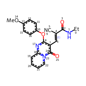 CCNC(=O)/C(C#N)=C/c1c(Oc2ccc(OC)cc2)nc2ccccn2c1=O